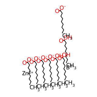 CCCCCCCCCC(=O)O.CCCCCCCCCC(=O)O.CCCCCCCCCC(=O)O.CCCCCCCCCC(=O)[O-].CCCCCCCCCC(=O)[O-].CCCCCCCCCC(=O)[O-].CCCCCCCCCC(=O)[O-].CCCCCCCCCC(=O)[O-].[B+3].[Zn+2]